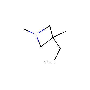 COCC1(C)CN(C)C1